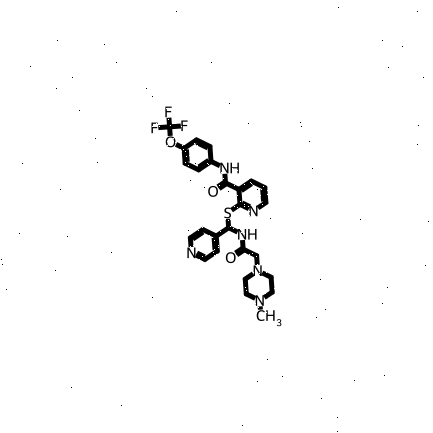 CN1CCN(CC(=O)NC(Sc2ncccc2C(=O)Nc2ccc(OC(F)(F)F)cc2)c2ccncc2)CC1